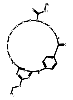 CC(C)(C)NC(=O)N1CCCCCCCCNc2nc(nc(OCC(F)(F)F)n2)Nc2ccc(cc2)C(=O)NCCC1